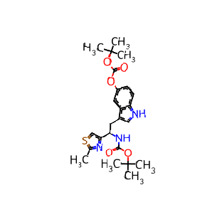 Cc1nc(C(Cc2c[nH]c3ccc(OC(=O)OC(C)(C)C)cc23)NC(=O)OC(C)(C)C)cs1